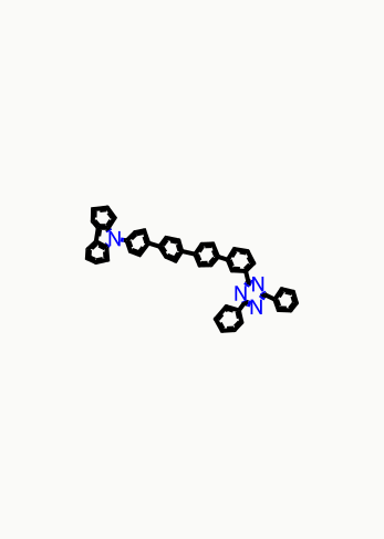 c1ccc(-c2nc(-c3ccccc3)nc(-c3cccc(-c4ccc(-c5ccc(-c6ccc(-n7c8ccccc8c8ccccc87)cc6)cc5)cc4)c3)n2)cc1